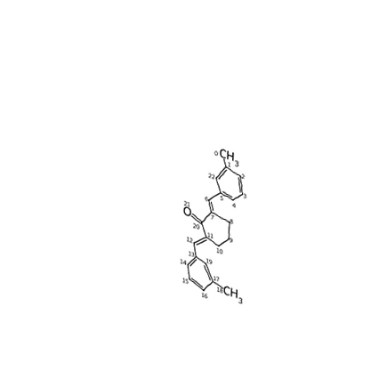 Cc1cccc(/C=C2\CCC/C(=C\c3cccc(C)c3)C2=O)c1